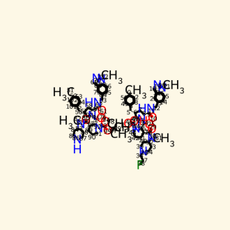 Cc1ccc(C[C@@H]2C[C@@H](C(=O)NCc3ccc4c(cnn4C)c3)N(C(=O)[C@H]3[C@@H](C(=O)N(C)C4CCN(CCF)CC4)CCCN3C(=O)O)C2)cc1.Cc1ccc(C[C@@H]2C[C@@H](C(=O)NCc3ccc4c(cnn4C)c3)N(C(=O)[C@H]3[C@@H](C(=O)N(C)C4CCNCC4)CCCN3C(=O)OC(C)(C)C)C2)cc1